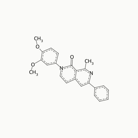 COc1ccc(-n2ccc3cc(-c4ccccc4)nc(C)c3c2=O)cc1OC